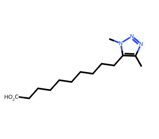 Cc1nnn(C)c1CCCCCCCCCC(=O)O